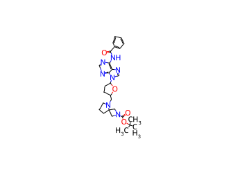 CC(C)(C)OC(=O)N1CC2(CCCN2CC2CCC(n3cnc4c(NC(=O)c5ccccc5)ncnc43)O2)C1